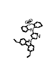 C=Cc1ccc2c(c1)c1cc(C=C)ccc1n2-c1cncc(N2c3ccccc3S(=O)(=O)c3ccccc32)c1